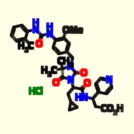 COc1cc(CN2C(=O)N(C(CC3CC3)C(=O)NC(CC(=O)O)c3ccncc3)C(=O)C2(C)C)ccc1NC(=O)Nc1ccccc1C.Cl